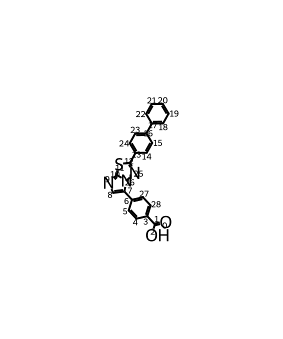 O=C(O)c1ccc(-c2cnc3sc(-c4ccc(-c5ccccc5)cc4)nn23)cc1